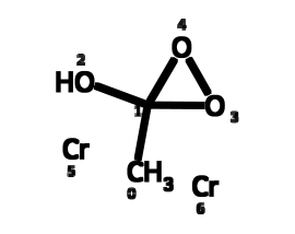 CC1(O)OO1.[Cr].[Cr]